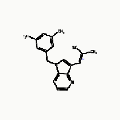 C/C(C#N)=C/c1cn(Cc2cc(C)cc(C(F)(F)F)c2)c2cccnc12